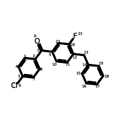 O=C(c1ccc(Cl)cc1)c1ccc(Cc2ccccc2)c(F)c1